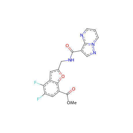 COC(=O)c1cc(F)c(F)c2cc(CNC(=O)c3cnn4cccnc34)oc12